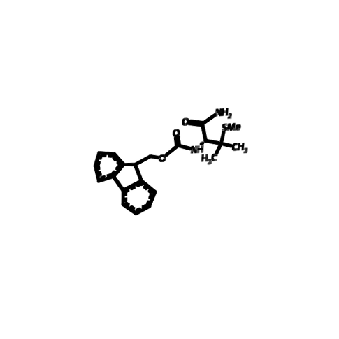 CSC(C)(C)[C@H](NC(=O)OCC1c2ccccc2-c2ccccc21)C(N)=O